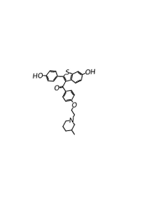 CC1CCCN(CCOc2ccc(C(=O)c3c(-c4ccc(O)cc4)sc4cc(O)ccc34)cc2)C1